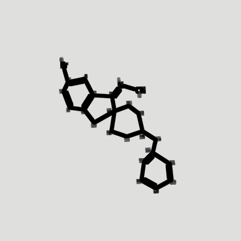 N#C/N=C1/c2cc(Br)ccc2CC12CCC(Cc1ccccc1)CC2